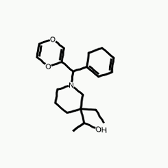 CCC1(C(C)O)CCCN(C(C2=CC=CCC2)C2=COC=CO2)C1